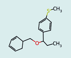 CCC(OCC1C=CC=CC1)c1ccc(SC)cc1